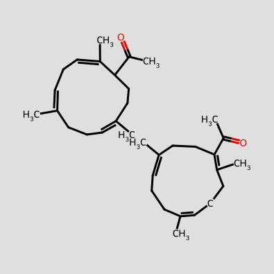 CC(=O)C1=C(C)CCC=C(C)CCC=C(C)CC1.CC(=O)C1CCC(C)=CCCC(C)=CCC=C1C